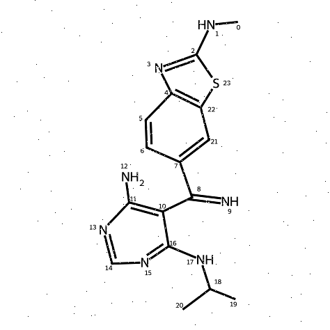 CNc1nc2ccc(C(=N)c3c(N)ncnc3NC(C)C)cc2s1